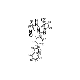 O=NCC1(Nc2nc(N3CCC(c4cc5ccccc5o4)CC3)nc3c2[S+]([O-])CC3)CC1